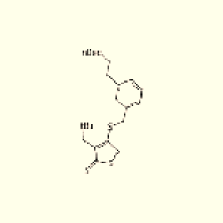 CCCCCCCCCCCCc1cccc(CSc2ssc(=S)c2CC(C)(C)C)c1